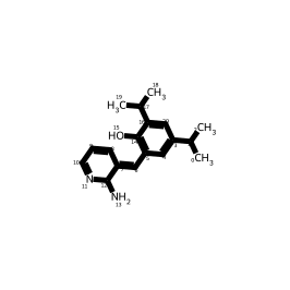 CC(C)c1cc(C=C2C=CC=NC2N)c(O)c(C(C)C)c1